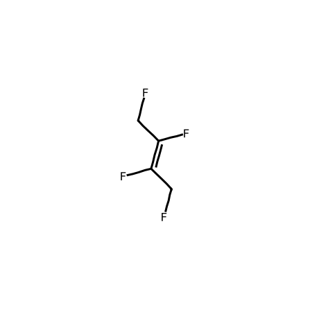 FCC(F)=C(F)CF